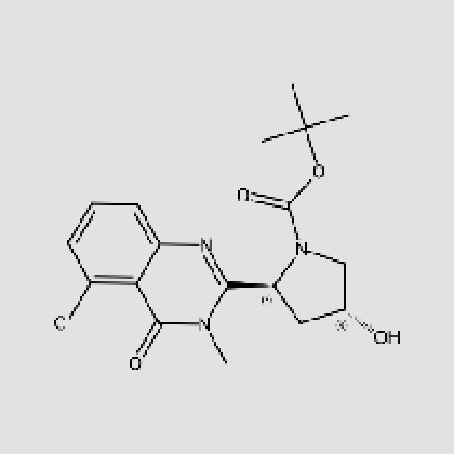 Cn1c([C@@H]2C[C@@H](O)CN2C(=O)OC(C)(C)C)nc2cccc(Cl)c2c1=O